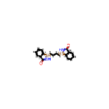 O=C1N[SH](CCCC[SH]2NC(=O)c3ccccc32)c2ccccc21